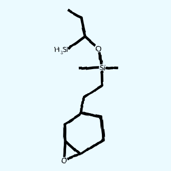 CCC([SiH3])O[Si](C)(C)CCC1CCC2OC2C1